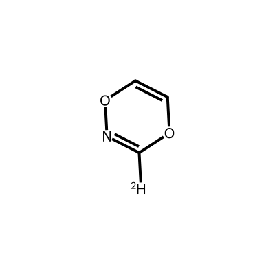 [2H]C1=NOC=CO1